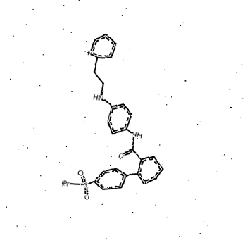 CC(C)S(=O)(=O)c1ccc(-c2ccccc2C(=O)Nc2ccc(NCCc3ccccn3)cc2)cc1